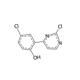 Oc1ccc(Cl)cc1-c1ccnc(Cl)n1